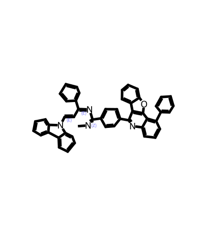 C\N=C(/N=C(\C=C\n1c2ccccc2c2ccccc21)c1ccccc1)c1ccc(-c2nc3cccc(-c4ccccc4)c3c3oc4ccccc4c23)cc1